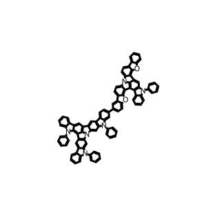 c1ccc(-n2c3cc(-c4ccc5oc6c(ccc7c6c6c8c9ccccc9n(-c9ccccc9)c8cc8c9c%10oc%11ccccc%11c%10ccc9n7c86)c5c4)ccc3c3cc4c5cc6c7ccccc7n(-c7ccccc7)c6c6c7cc8c9ccccc9n(-c9ccccc9)c8cc7n(c4cc32)c56)cc1